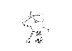 C=CC(N)=O.CCCOS(C)(=O)=O.[NaH]